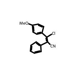 COc1ccc(C(Cl)=C(C#N)c2ccccc2)cc1